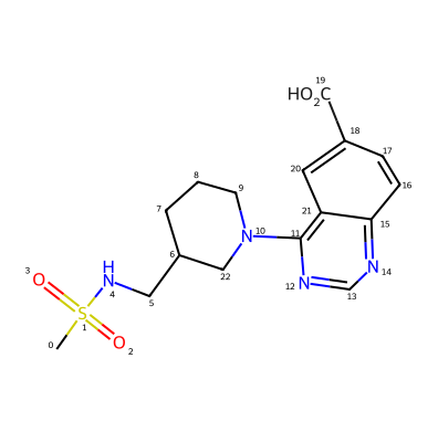 CS(=O)(=O)NCC1CCCN(c2ncnc3ccc(C(=O)O)cc23)C1